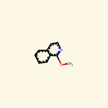 COc1n[c]cc2ccccc12